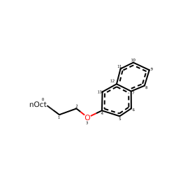 [CH2]CCCCCCCCCOc1ccc2ccccc2c1